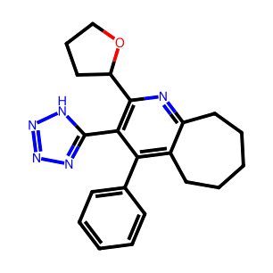 c1ccc(-c2c3c(nc(C4CCCO4)c2-c2nnn[nH]2)CCCCC3)cc1